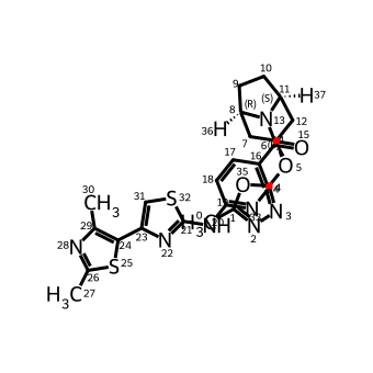 Cc1nnc(O[C@H]2C[C@H]3CC[C@@H](C2)N3C(=O)c2ccc(Nc3nc(-c4sc(C)nc4C)cs3)nc2)o1